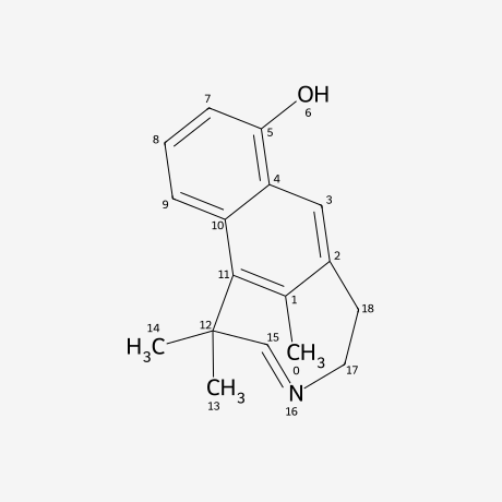 Cc1c2cc3c(O)cccc3c1C(C)(C)/C=N/CC2